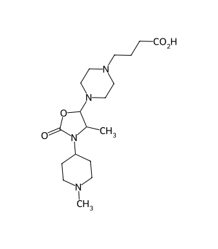 CC1C(N2CCN(CCCC(=O)O)CC2)OC(=O)N1C1CCN(C)CC1